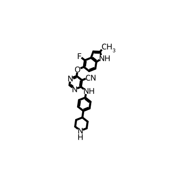 Cc1cc2c(F)c(Oc3ncnc(Nc4ccc(C5CCNCC5)cc4)c3C#N)ccc2[nH]1